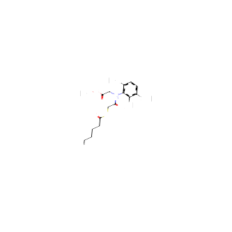 CCCCCC(=O)SCC(=O)N(CC(=O)OC)c1c(C)ccc(C)c1C